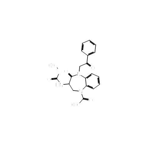 CC(C)(C)OC(=O)NC1CN(C(=O)C(C)(C)C)c2ccccc2N(CC(=O)c2ccccc2)C1=O